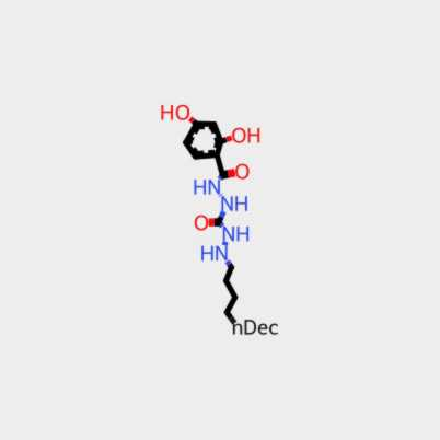 CCCCCCCCCCCCCCNNC(=O)NNC(=O)c1ccc(O)cc1O